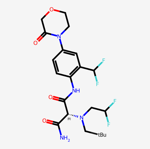 CC(C)(C)CN(CC(F)F)[C@H](C(N)=O)C(=O)Nc1ccc(N2CCOCC2=O)cc1C(F)F